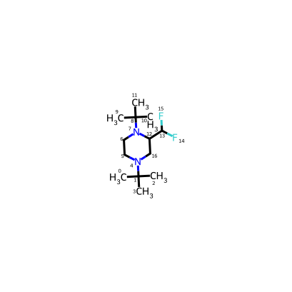 CC(C)(C)N1CCN(C(C)(C)C)C(C(F)F)C1